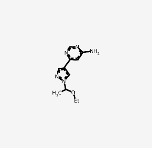 CCOC(C)n1cc(-c2cc(N)ncn2)cn1